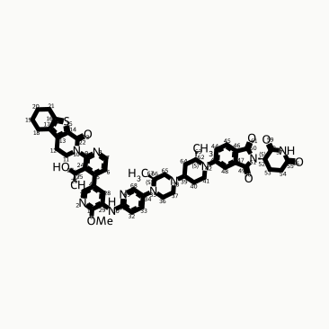 COc1ncc(-c2ccnc(N3CCc4c(sc5c4CCCC5)C3=O)c2[C@@H](C)O)cc1Nc1ccc(N2CCN(C3CCN(c4ccc5c(c4)C(=O)N([C@H]4CCC(=O)NC4=O)C5=O)[C@@H](C)C3)C[C@@H]2C)cn1